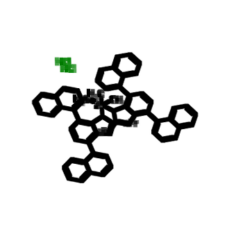 CCCC1=Cc2c(-c3cccc4ccccc34)ccc(-c3cccc4ccccc34)c2[CH]1[Zr]([CH3])([CH3])(=[SiH2])[CH]1C(CCC)=Cc2c(-c3cccc4ccccc34)ccc(-c3cccc4ccccc34)c21.Cl.Cl